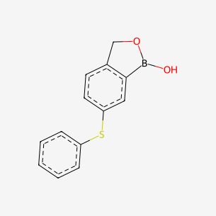 OB1OCc2ccc(Sc3ccccc3)cc21